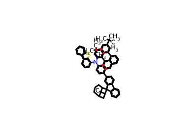 CC(C)(C)c1cc(-c2cccc3cccc(-c4ccccc4N(c4ccc(-c5ccc6c(c5)C5(c7ccccc7-6)C6CC7CC8CC5C86C7)cc4)c4cccc5c4sc4ccccc45)c23)cc(C(C)(C)C)c1